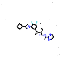 C=C/C(=C\N=C(/C)c1ncccn1)C1CC1c1cc(F)c(F)c(N2CC(c3ccccc3)C2)c1